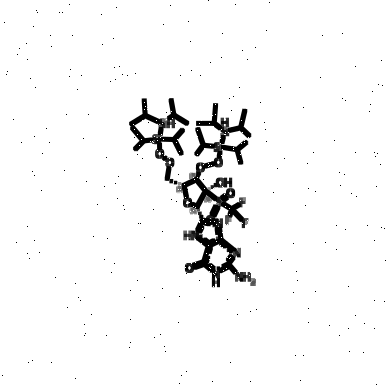 CC(C)[SiH](C(C)C)[Si](OOC[C@H]1O[C@@H](c2nc3nc(N)[nH]c(=O)c3[nH]2)[C@](O)(S(=O)(=O)C(F)(F)F)[C@@H]1OO[Si](C(C)C)(C(C)C)[SiH](C(C)C)C(C)C)(C(C)C)C(C)C